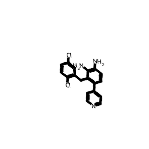 Nc1ccc(-c2ccncc2)c(Cc2cc(Cl)ccc2Cl)c1N